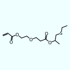 C=CC(=O)OCCOCCC(=O)OC(C)CSCC